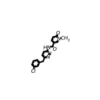 Cn1cc(C(=O)Nc2ccc(Cc3cccc(Cl)c3)nn2)ccc1=O